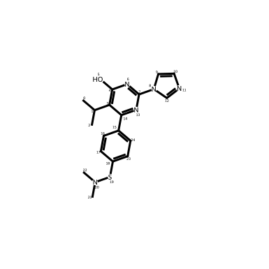 CC(C)c1c(O)nc(-n2ccnc2)nc1-c1ccc(SN(C)C)cc1